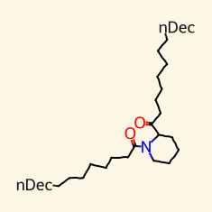 CCCCCCCCCCCCCCCCCC(=O)C1CCCCN1C(=O)CCCCCCCCCCCCCCCCC